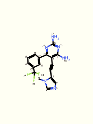 Cn1cncc1C#Cc1c(N)nc(N)nc1-c1cccc(C(F)(F)F)c1